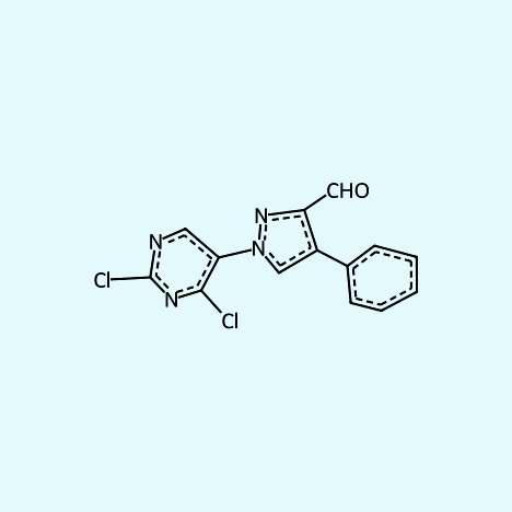 O=Cc1nn(-c2cnc(Cl)nc2Cl)cc1-c1ccccc1